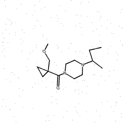 CCC(C)N1CCN(C(=O)C2(COC)CC2)CC1